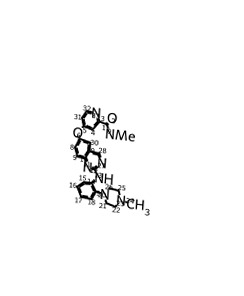 CNC(=O)c1cc(Oc2ccc3nc(Nc4ccccc4N4CCN(C)CC4)ncc3c2)ccn1